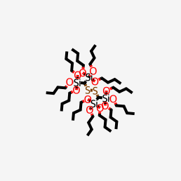 CCCCO[Si](OCCCC)(OCCCC)C(SSC([Si](OCCCC)(OCCCC)OCCCC)[Si](OCCCC)(OCCCC)OCCCC)[Si](OCCCC)(OCCCC)OCCCC